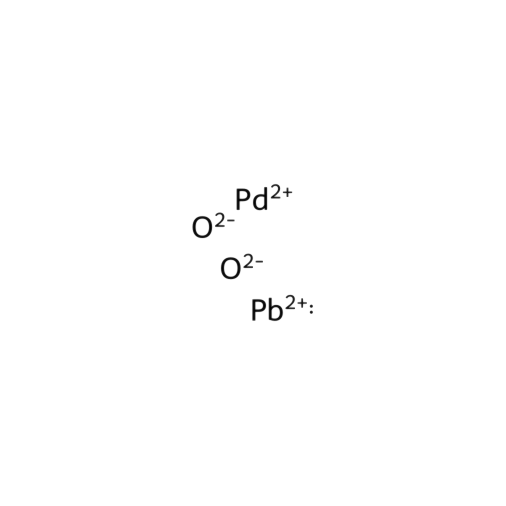 [O-2].[O-2].[Pb+2].[Pd+2]